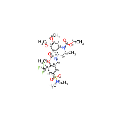 CCOC(=O)N1c2cc(OC)c(OC)cc2C(N(Cc2cc(C(F)(F)F)cc(S(=O)(=O)N(C)C)c2)C(=O)OC)CC1C